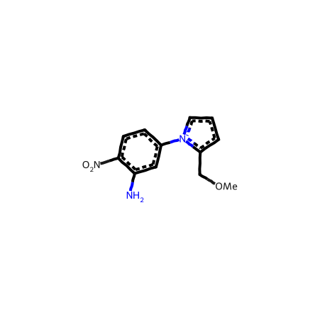 COCc1cccn1-c1ccc([N+](=O)[O-])c(N)c1